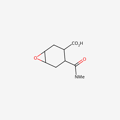 CNC(=O)C1CC2OC2CC1C(=O)O